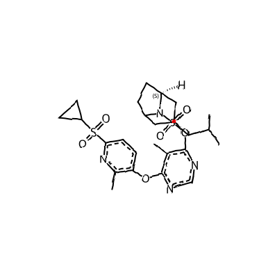 Cc1nc(S(=O)(=O)C2CC2)ccc1Oc1ncnc(OC2CC3CC[C@@H](C2)N3S(=O)(=O)CC(C)C)c1C